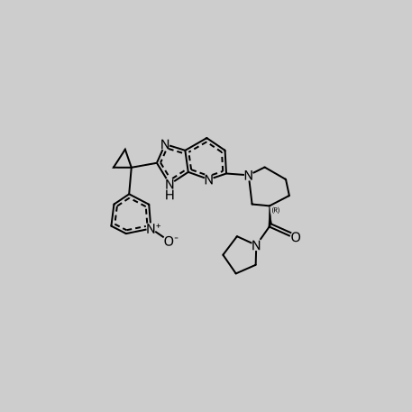 O=C([C@@H]1CCCN(c2ccc3nc(C4(c5ccc[n+]([O-])c5)CC4)[nH]c3n2)C1)N1CCCC1